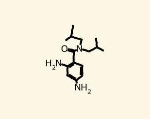 CC(C)CN(CC(C)C)C(=O)c1ccc(N)cc1N